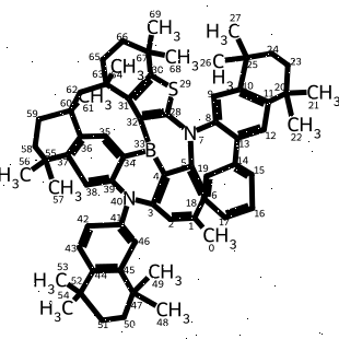 Cc1cc2c3c(c1)N(c1cc4c(cc1-c1ccccc1)C(C)(C)CCC4(C)C)c1sc4c5c1B3c1cc3c(cc1N2c1ccc2c(c1)C(C)(C)CCC2(C)C)C(C)(C)CCC3(C)CC5(C)CCC4(C)C